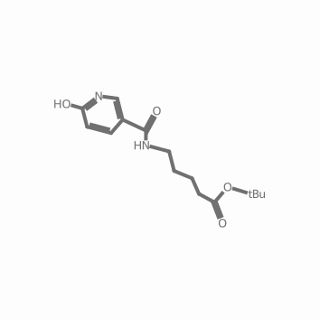 CC(C)(C)OC(=O)CCCCNC(=O)c1ccc(O)nc1